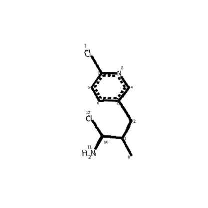 CC(Cc1ccc(Cl)nc1)C(N)Cl